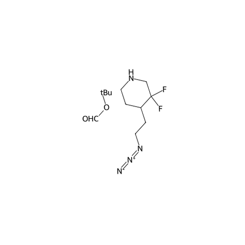 CC(C)(C)OC=O.[N-]=[N+]=NCCC1CCNCC1(F)F